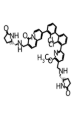 COc1nc(-c2cccc(-c3cccc(-c4ccn5c(=O)c(CNC[C@@H]6CCC(=O)N6)ccc5c4)c3Cl)c2Cl)ccc1CNC[C@@H]1CCC(=O)N1